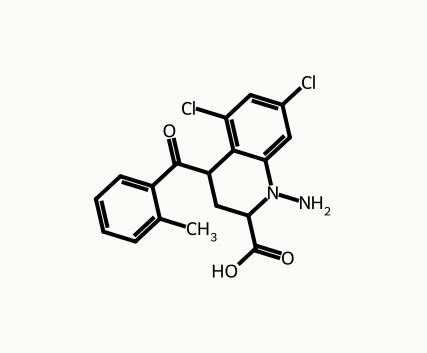 Cc1ccccc1C(=O)C1CC(C(=O)O)N(N)c2cc(Cl)cc(Cl)c21